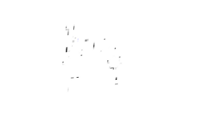 COC(=O)[C@H]1CC[C@H](N/C(=N\C=N)C(=O)NC2CCC(Oc3ccc(C#N)c(Cl)c3)CC2)CC1